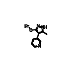 Cc1[nH]nc(OC(C)C)c1-c1cccnc1